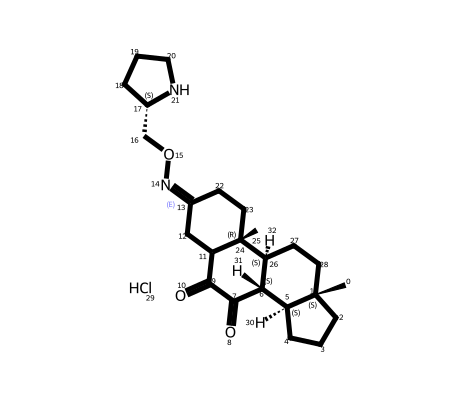 C[C@@]12CCC[C@H]1[C@@H]1C(=O)C(=O)C3C/C(=N/OC[C@@H]4CCCN4)CC[C@]3(C)[C@H]1CC2.Cl